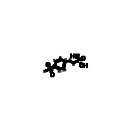 CS(=O)(=O)c1ccc(CCP(=O)(O)O)cc1